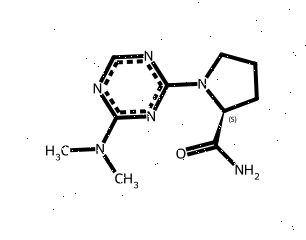 CN(C)c1ncnc(N2CCC[C@H]2C(N)=O)n1